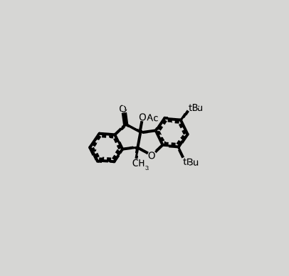 CC(=O)OC12C(=O)c3ccccc3C1(C)Oc1c(C(C)(C)C)cc(C(C)(C)C)cc12